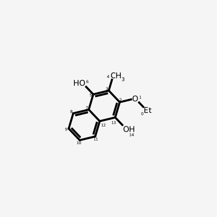 CCOc1c(C)c(O)c2ccccc2c1O